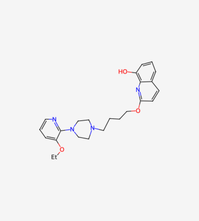 CCOc1cccnc1N1CCN(CCCCOc2ccc3cccc(O)c3n2)CC1